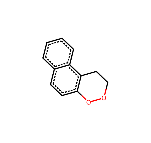 c1ccc2c3c(ccc2c1)OOCC3